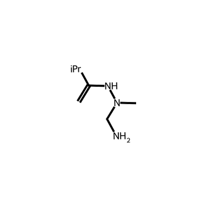 C=C(NN(C)CN)C(C)C